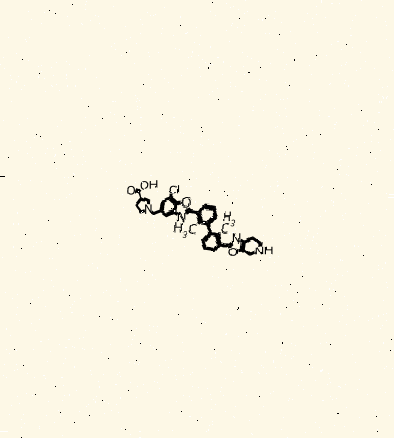 Cc1c(-c2nc3c(o2)CNCC3)cccc1-c1cccc(-c2nc3cc(CN4CC[C@@H](C(=O)O)C4)cc(Cl)c3o2)c1C